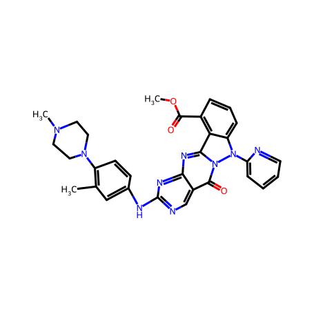 COC(=O)c1cccc2c1c1nc3nc(Nc4ccc(N5CCN(C)CC5)c(C)c4)ncc3c(=O)n1n2-c1ccccn1